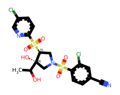 CC(O)[C@]1(O)CN(S(=O)(=O)c2ccc(C#N)cc2Cl)C[C@@H]1S(=O)(=O)c1ccc(Cl)cn1